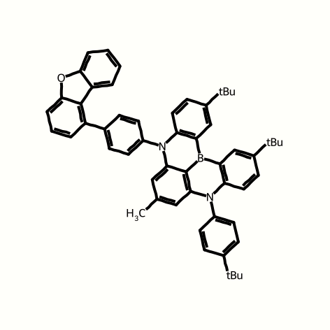 Cc1cc2c3c(c1)N(c1ccc(C(C)(C)C)cc1)c1ccc(C(C)(C)C)cc1B3c1cc(C(C)(C)C)ccc1N2c1ccc(-c2cccc3oc4ccccc4c23)cc1